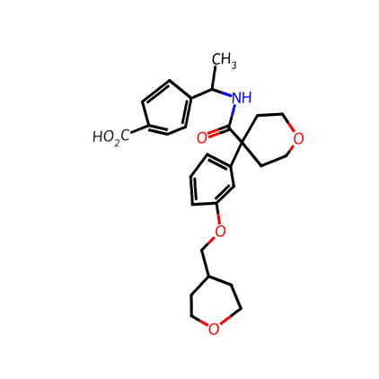 CC(NC(=O)C1(c2cccc(OCC3CCOCC3)c2)CCOCC1)c1ccc(C(=O)O)cc1